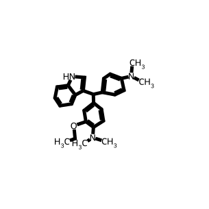 CCOc1cc(C(c2ccc(N(C)C)cc2)c2c[nH]c3ccccc23)ccc1N(C)C